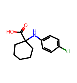 O=C(O)C1(Nc2ccc(Cl)cc2)CCCCC1